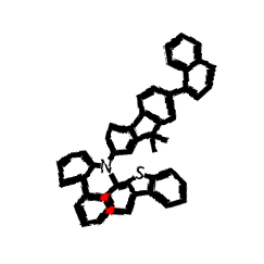 CC1(C)c2cc(-c3cccc4ccccc34)ccc2-c2ccc(N(c3ccccc3-c3ccccc3)c3cccc4c3sc3ccccc34)cc21